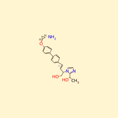 CC(O)c1nccn1C(/C=C/c1ccc(-c2ccc(O[C@H]3C[C@@H]3N)cc2)cc1)CO